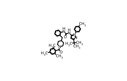 Cc1ccc(-n2nc(C(C)(C)C)cc2NC(=O)Nc2ccccc2CC2CCN(C(=O)c3c(C)cc(C)cc3C)CC2)cc1